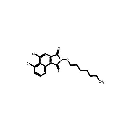 CCCCCCCON1C(=O)c2cc(Cl)c3c(Cl)cccc3c2C1=O